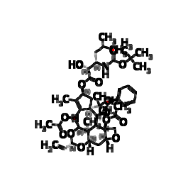 C=C[C@H]1O[C@H]2C[C@H]3OC[C@@]3(OC(C)=O)C3[C@H](OCc4ccccc4)[C@]4(C(C)(C)O)C[C@H](OC(=O)[C@H](O)[C@H](CC(C)C)NC(=O)OC(C)(C)C)C(C)=C4[C@H](OC(C)=O)[C@H](O1)[C@@]32C